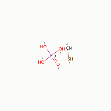 N#CS.O=P(O)(O)O